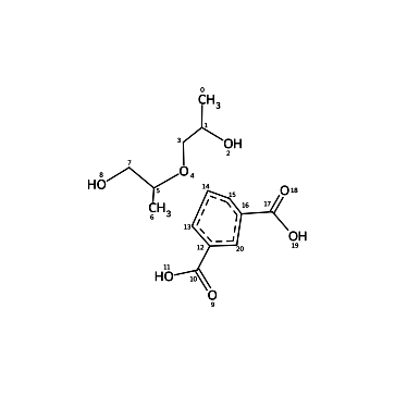 CC(O)COC(C)CO.O=C(O)c1cccc(C(=O)O)c1